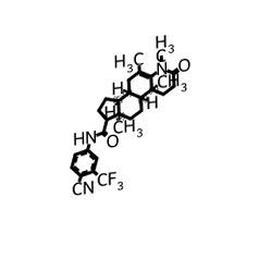 CC1=C2N(C)C(=O)CC[C@]2(C)[C@@H]2CC[C@]3(C)C(C(=O)Nc4ccc(C#N)c(C(F)(F)F)c4)CC[C@H]3[C@@H]2C1